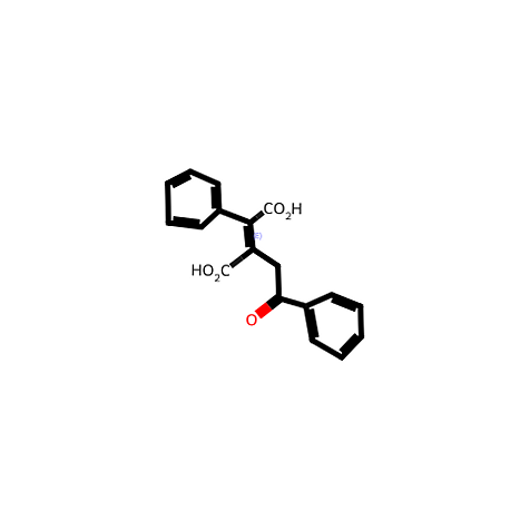 O=C(O)/C(CC(=O)c1ccccc1)=C(/C(=O)O)c1ccccc1